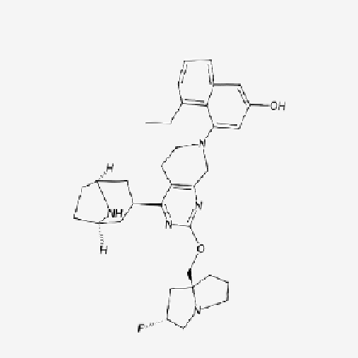 CCc1cccc2cc(O)cc(N3CCc4c(nc(OC[C@@]56CCCN5C[C@H](F)C6)nc4[C@H]4C[C@H]5CC[C@@H](C4)N5)C3)c12